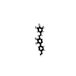 CCc1ccc(-c2ccc(CCc3cc(F)c(F)c(F)c3)c(F)c2F)cc1